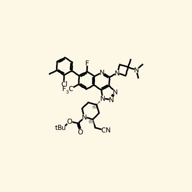 Cc1cccc(-c2c(C(F)(F)F)cc3c(nc(N4CC(C)(N(C)C)C4)c4nnn([C@H]5CCN(C(=O)OC(C)(C)C)[C@H](CC#N)C5)c43)c2F)c1Cl